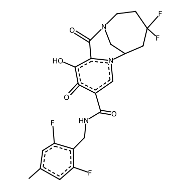 Cc1cc(F)c(CNC(=O)c2cn3c(c(O)c2=O)C(=O)N2CCC(F)(F)CC3C2)c(F)c1